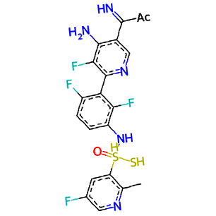 CC(=O)C(=N)c1cnc(-c2c(F)ccc(N[SH](=O)(S)c3cc(F)cnc3C)c2F)c(F)c1N